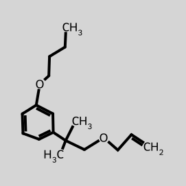 C=CCOCC(C)(C)c1cccc(OCCCC)c1